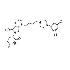 C=C1CCC(N2Cc3c(CCCCN4CCN(c5cc(Cl)cc(Cl)c5)CC4)cccc3C2O)C(=O)N1